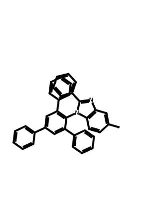 Cc1ccc2c(c1)nc(-c1ccccc1)n2-c1c(-c2ccccc2)cc(-c2ccccc2)cc1-c1ccccc1